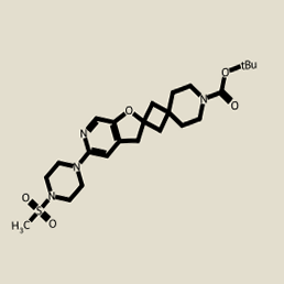 CC(C)(C)OC(=O)N1CCC2(CC1)CC1(Cc3cc(N4CCN(S(C)(=O)=O)CC4)ncc3O1)C2